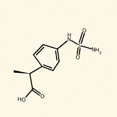 C[C@H](C(=O)O)c1ccc(NS(N)(=O)=O)cc1